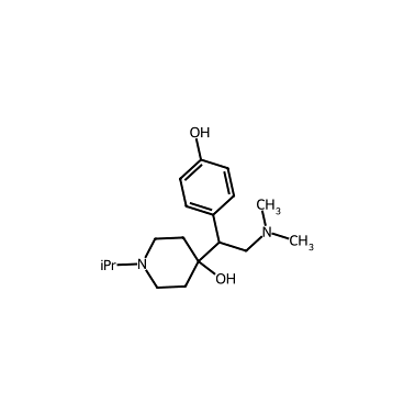 CC(C)N1CCC(O)(C(CN(C)C)c2ccc(O)cc2)CC1